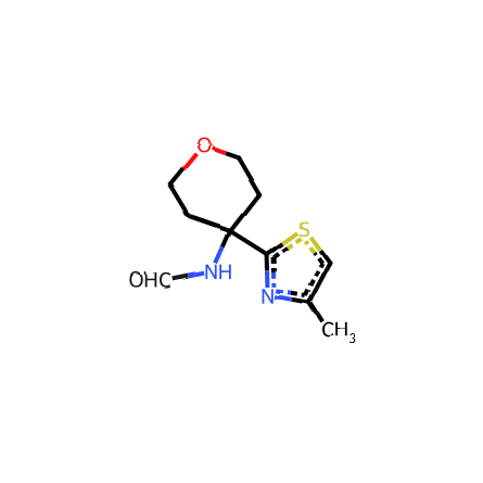 Cc1csc(C2(NC=O)CCOCC2)n1